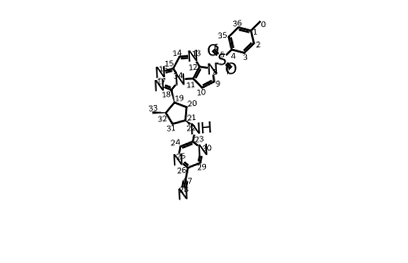 Cc1ccc(S(=O)(=O)n2ccc3c2ncc2nnc([C@H]4C[C@@H](Nc5cnc(C#N)cn5)C[C@H]4C)n23)cc1